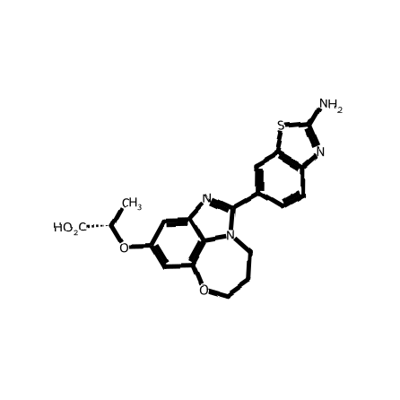 C[C@H](Oc1cc2c3c(c1)nc(-c1ccc4nc(N)sc4c1)n3CCCO2)C(=O)O